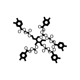 Cc1ccc(C(=O)OOC(=O)OCCC(COC(=O)OOC(=O)c2ccc(C)c(C)c2)C(COC(=O)OOC(=O)c2ccc(C)c(C)c2)C(CCOC(=O)OOC(=O)c2ccc(C)c(C)c2)COC(=O)OOC(=O)c2ccc(C)c(C)c2)cc1C